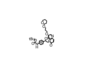 CC(C)(C)OC(=O)NC12CCC(C(O)Cn3c(=O)ccc4ncc(OCCCOC5CCCCO5)cc43)(CC1)OC2